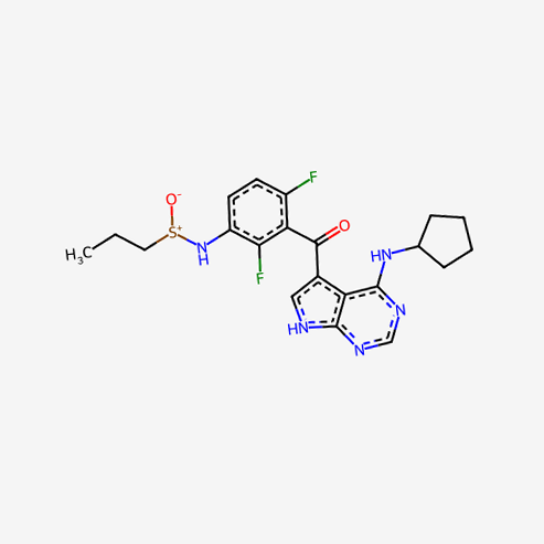 CCC[S+]([O-])Nc1ccc(F)c(C(=O)c2c[nH]c3ncnc(NC4CCCC4)c23)c1F